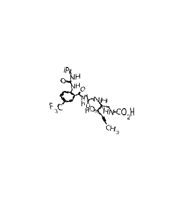 CC#C[C@H](O)[C@H](CNC(=O)O)NC(=O)CNC(=O)c1cc(C(F)(F)F)ccc1NC(=O)NC(C)C